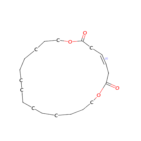 O=C1C/C=C\CC(=O)OCCCCCCCCCCCCCCO1